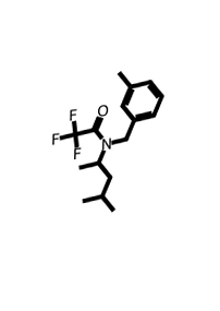 Cc1cccc(CN(C(=O)C(F)(F)F)C(C)CC(C)C)c1